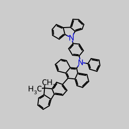 CC1(C)c2ccccc2-c2ccc(-c3c4ccccc4c(N(c4ccccc4)c4ccc(-n5c6ccccc6c6ccccc65)cc4)c4ccccc34)cc21